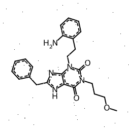 COCCCn1c(=O)c2[nH]c(Cc3ccccc3)nc2n(CCc2ccccc2N)c1=O